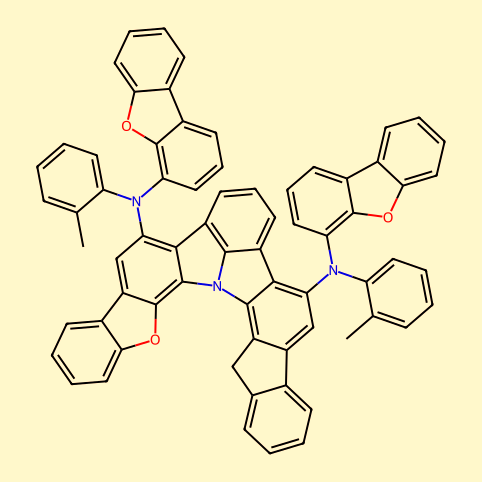 Cc1ccccc1N(c1cccc2c1oc1ccccc12)c1cc2c(c3c1c1cccc4c5c(N(c6ccccc6C)c6cccc7c6oc6ccccc67)cc6c7ccccc7oc6c5n3c14)Cc1ccccc1-2